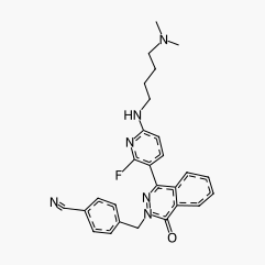 CN(C)CCCCNc1ccc(-c2nn(Cc3ccc(C#N)cc3)c(=O)c3ccccc23)c(F)n1